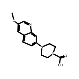 COc1cnc2cc(N3CCN(C(=O)O)CC3)ccc2c1